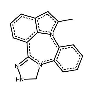 Cc1cc2cccc3c4n(c5ccccc5n1c23)CNN=4